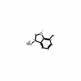 Cc1cccc2c1OC[C@@H]2C(C)(C)C